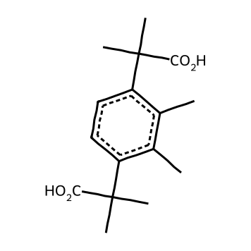 Cc1c(C(C)(C)C(=O)O)ccc(C(C)(C)C(=O)O)c1C